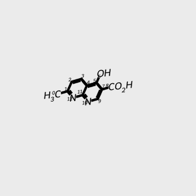 Cc1ccc2c(O)c(C(=O)O)cnc2n1